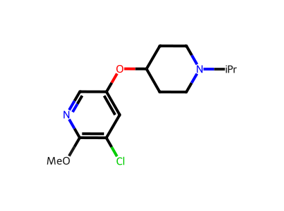 COc1ncc(OC2CCN(C(C)C)CC2)cc1Cl